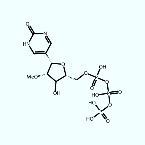 CO[C@H]1C(O)[C@@H](COP(=O)(O)OP(=O)(O)OP(=O)(O)O)O[C@H]1c1cnc(=O)[nH]c1